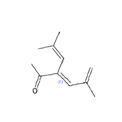 C=C(C)/C=C(\C=C(C)C)C(C)=O